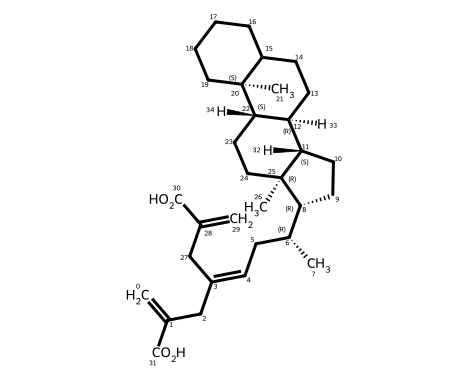 C=C(CC(=CC[C@@H](C)[C@H]1CC[C@H]2[C@@H]3CCC4CCCC[C@]4(C)[C@H]3CC[C@]12C)CC(=C)C(=O)O)C(=O)O